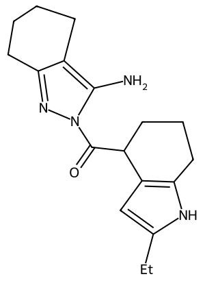 CCc1cc2c([nH]1)CCCC2C(=O)n1nc2c(c1N)CCCC2